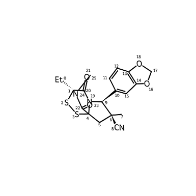 CC[C@]12SSC3(C[C@](C)(C#N)[C@H](c4ccc5c(c4)OCO5)N3C1=O)C(=O)N2C